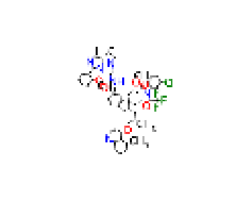 CCN(CCNC(=O)c1ccc2c(c1)C1(CCC(C(=O)OC)(N(C(=O)C(F)(F)F)c3cccc(Cl)c3)CC1)[C@@H](C[C@@H](C)COc1ccnc3c1[C@H](C)CCC3)C2)c1ccnc(-c2ccccc2OC)n1